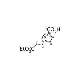 CCOC(=O)CCc1ccc(C(=O)O)s1